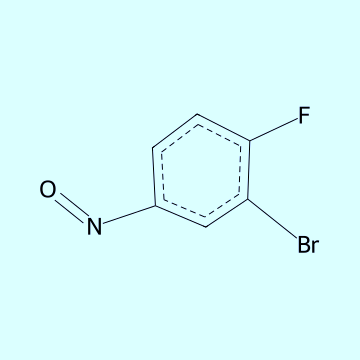 O=Nc1ccc(F)c(Br)c1